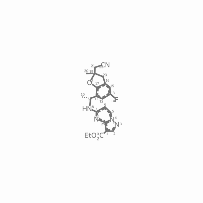 CCOC(=O)c1cnn2ccc(N[C@H](C)c3cc(F)cc4c3O[C@](C)(CC#N)C4)nc12